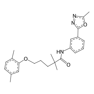 Cc1ccc(C)c(OCCCC(C)(C)C(=O)Nc2cccc(-c3nnc(C)o3)c2)c1